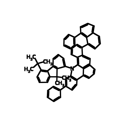 CC(C)(C)c1cccc2c1-c1cccc(N(c3cc(-c4ccccc4)ccc3-c3ccccc3)c3cccc4c(-c5cccc6cccc(-c7ccccc7)c56)cccc34)c1C2(C)C